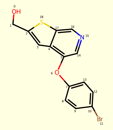 OCc1cc2c(Oc3ccc(Br)cc3)cncc2s1